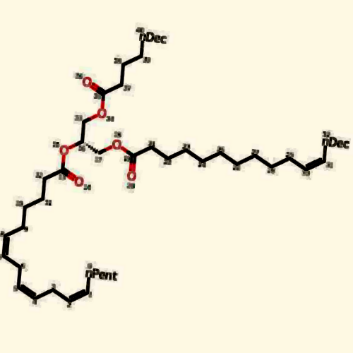 CCCCC/C=C\C/C=C\C/C=C\CCCCC(=O)O[C@@H](COC(=O)CCCCCCCCC/C=C\CCCCCCCCCC)COC(=O)CCCCCCCCCCCCC